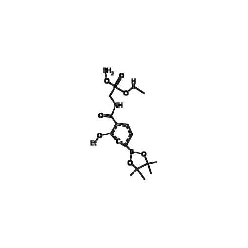 BOP(=O)(CNC(=O)c1ccc(B2OC(C)(C)C(C)(C)O2)cc1OCC)OBC